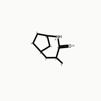 CC1CC2CCC(C2)NC1=O